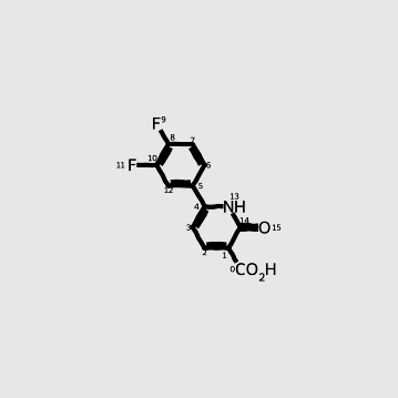 O=C(O)c1ccc(-c2ccc(F)c(F)c2)[nH]c1=O